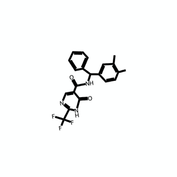 Cc1ccc(C(NC(=O)c2cnc(C(F)(F)F)[nH]c2=O)c2ccccc2)cc1C